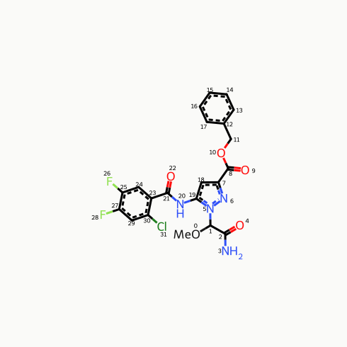 COC(C(N)=O)n1nc(C(=O)OCc2ccccc2)cc1NC(=O)c1cc(F)c(F)cc1Cl